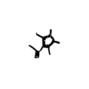 CC(=O)c1c(C)c(C)n(C)c1I